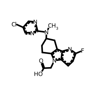 CN(c1ncc(Cl)cn1)C1CCc2c(c3nc(F)ccc3n2CC(=O)O)C1